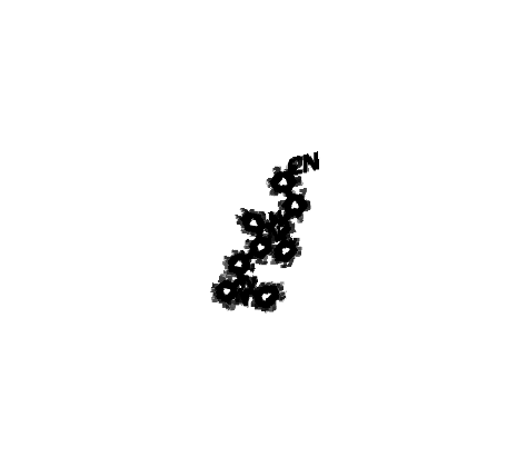 N#Cc1cccc(-c2cccc(-c3cc(-c4ccccc4)nc(-c4ccccc4-c4cccc(-c5cccc(-c6nc(-c7ccccc7)nc7ccccc67)c5)c4)n3)c2)c1